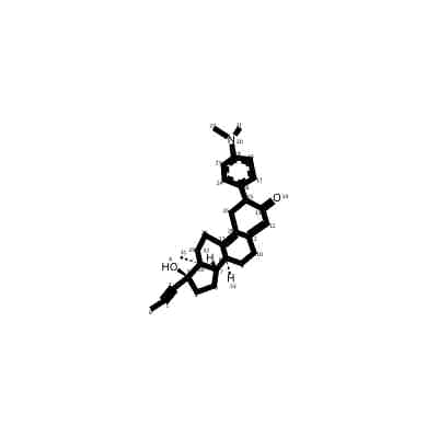 CC#C[C@@]1(O)CC[C@H]2[C@@H]3CCC4=CC(=O)C(c5ccc(N(C)C)cc5)CC4=C3CC[C@@]21C